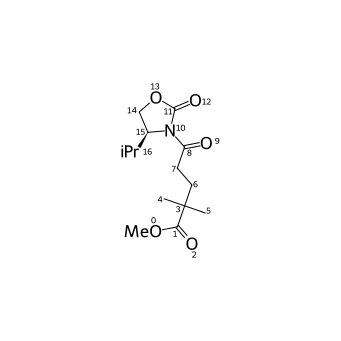 COC(=O)C(C)(C)CCC(=O)N1C(=O)OC[C@@H]1C(C)C